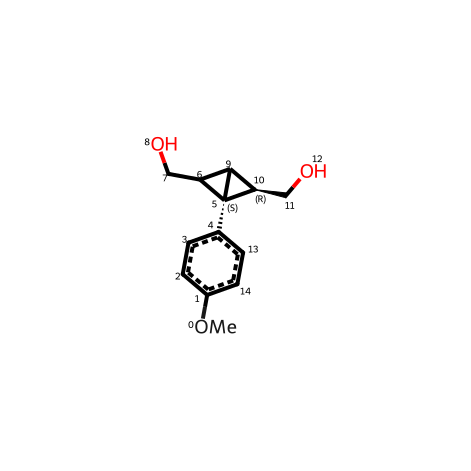 COc1ccc([C@]23C(CO)C2[C@H]3CO)cc1